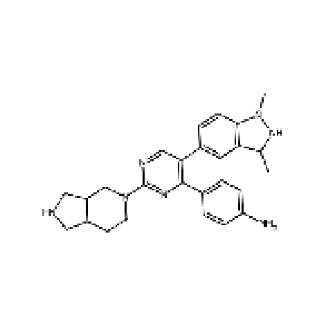 CC1NN(C)c2ccc(-c3cnc(N4CCC5CNCC5C4)nc3-c3ccc(N)cc3)cc21